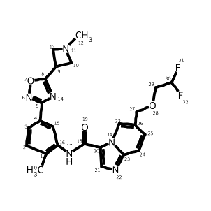 Cc1ccc(-c2noc(C3CN(C)C3)n2)cc1NC(=O)c1cnc2ccc(COCC(F)F)cn12